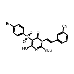 CCCCc1nc(O)c(S(=O)(=O)c2ccc(Br)cc2)c(=O)n1C=Cc1cccc(C#N)c1